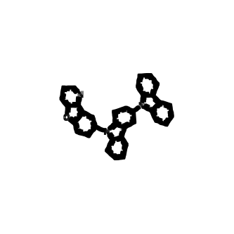 c1cnc2c(c1)oc1ccc(-n3c4ccccc4c4cc(-n5c6ccccc6c6ccccc65)ccc43)cc12